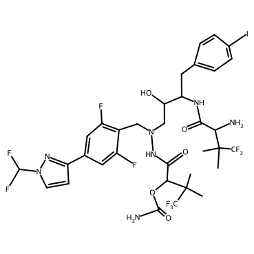 CC(C)(C(N)C(=O)NC(Cc1ccc(I)cc1)C(O)CN(Cc1c(F)cc(-c2ccn(C(F)F)n2)cc1F)NC(=O)C(OC(N)=O)C(C)(C)C(F)(F)F)C(F)(F)F